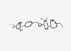 CCOc1ccc(-c2ccc(COc3ccc(-c4ccc(CC)cc4)c(F)c3F)cc2)c(F)c1